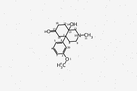 COc1cccc(C23CCN(C)CC2(O)CCC(=O)C3)c1